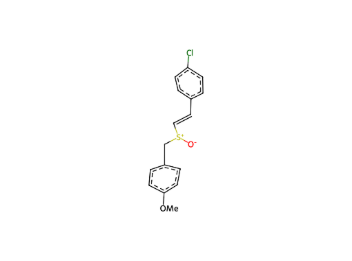 COc1ccc(C[S+]([O-])/C=C/c2ccc(Cl)cc2)cc1